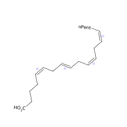 CCCCC/C=C\C/C=C\C/C=C/C/C=C\CCCC(=O)O